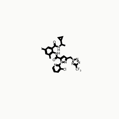 Cc1cc(I)cc(C(=O)NC(C)C2CC2)c1NC(=O)c1cc(Cn2nnc(C(F)(F)F)n2)nn1-c1ncccc1Cl